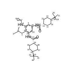 CC(C)Cc1c(NC=O)cc(NC(=O)[C@H]2CC[C@H](C(C)(C)C)CC2)cc1NC(=O)[C@H]1CC[C@H](C(C)(C)C)CC1